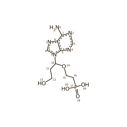 Nc1ncnc2c1ncn2C(CCO)OCCP(=O)(O)O